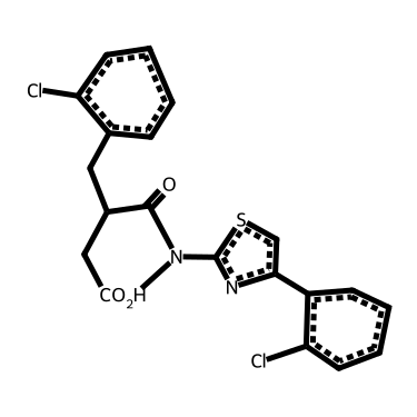 CN(C(=O)C(CC(=O)O)Cc1ccccc1Cl)c1nc(-c2ccccc2Cl)cs1